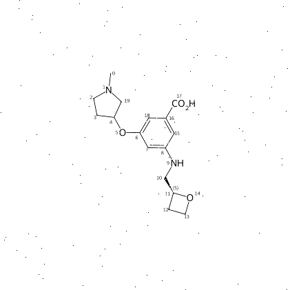 CN1CCC(Oc2cc(NC[C@@H]3CCO3)cc(C(=O)O)c2)C1